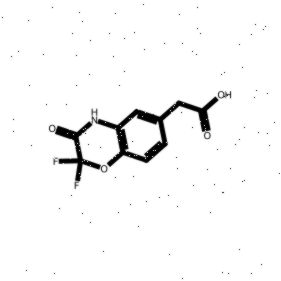 O=C(O)Cc1ccc2c(c1)NC(=O)C(F)(F)O2